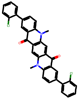 Cn1c2ccc(-c3ccccc3Cl)cc2c(=O)c2cc3c(cc21)c(=O)c1cc(-c2ccccc2Cl)ccc1n3C